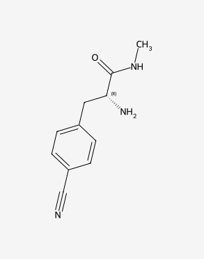 CNC(=O)[C@H](N)Cc1ccc(C#N)cc1